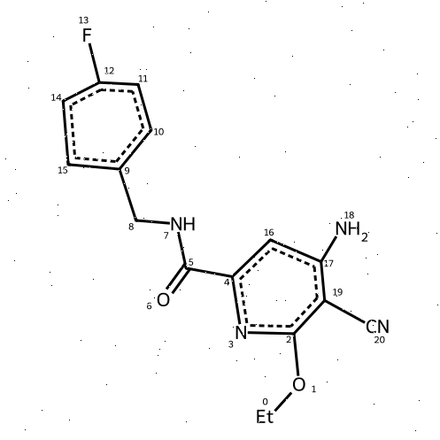 CCOc1nc(C(=O)NCc2ccc(F)cc2)cc(N)c1C#N